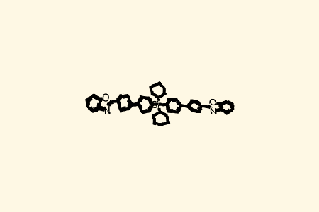 c1ccc2oc(-c3ccc(-c4ccc([Si](c5ccc(-c6ccc(-c7nc8ccccc8o7)cc6)cc5)(C5CCCCC5)C5CCCCC5)cc4)cc3)nc2c1